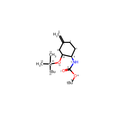 C=C1CC[C@@H](NC(=O)OC(C)(C)C)C(O[Si](C)(C)C(C)(C)C)C1